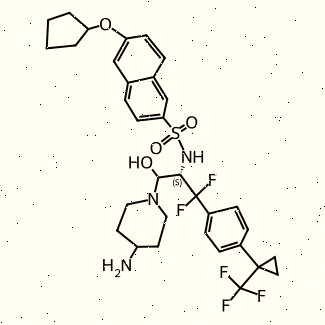 NC1CCN(C(O)[C@H](NS(=O)(=O)c2ccc3cc(OC4CCCC4)ccc3c2)C(F)(F)c2ccc(C3(C(F)(F)F)CC3)cc2)CC1